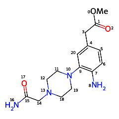 COC(=O)Cc1ccc(N)c(N2CCN(CC(N)=O)CC2)c1